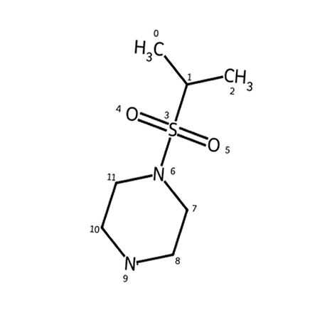 CC(C)S(=O)(=O)N1CC[N]CC1